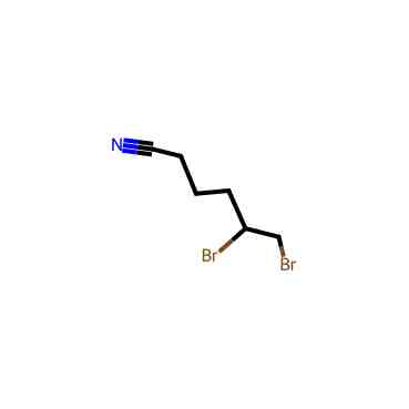 N#CCCCC(Br)CBr